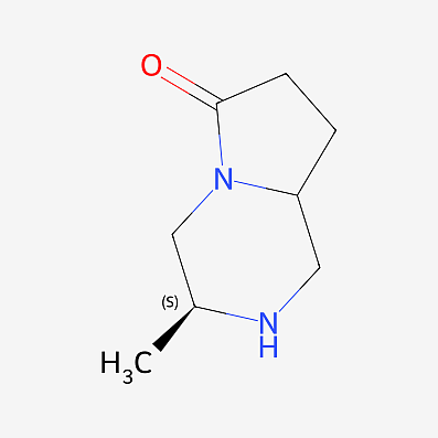 C[C@H]1CN2C(=O)CCC2CN1